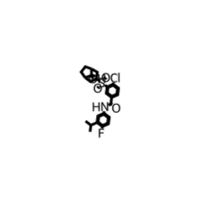 CC(C)c1cc(NC(=O)c2ccc(Cl)c(S(=O)(=O)C3CC4CCC(C3)C4(C)O)c2)ccc1F